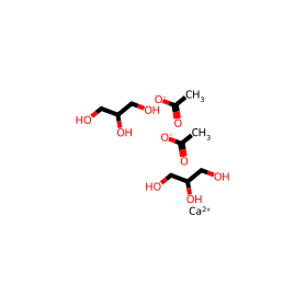 CC(=O)[O-].CC(=O)[O-].OCC(O)CO.OCC(O)CO.[Ca+2]